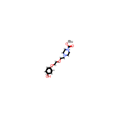 CC(C)(C)OC(=O)N1CCN(CCOCCOc2ccc(O)cc2)CC1